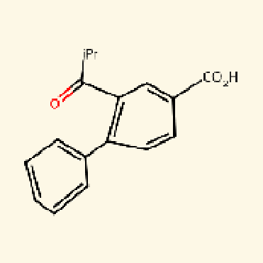 CC(C)C(=O)c1cc(C(=O)O)ccc1-c1ccccc1